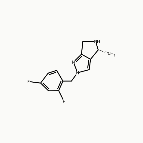 C[C@H]1NCc2nn(Cc3ccc(F)cc3F)cc21